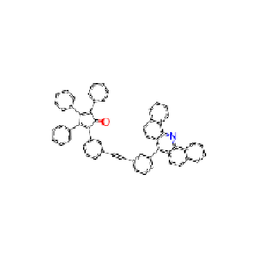 O=C1C(c2ccccc2)=C(c2ccccc2)C(c2ccccc2)=C1c1cccc(C#Cc2cccc(-c3c4ccc5ccccc5c4nc4c3ccc3ccccc34)c2)c1